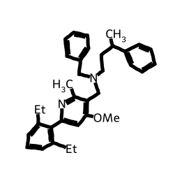 CCc1cccc(CC)c1-c1cc(OC)c(CN(CCC(C)c2ccccc2)Cc2ccccc2)c(C)n1